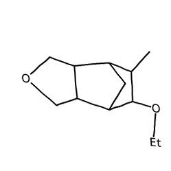 CCOC1C(C)C2CC1C1COCC21